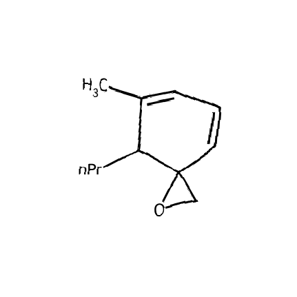 CCCC1C(C)=CC=CC12CO2